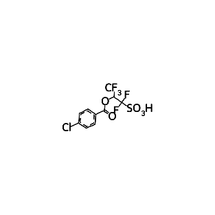 O=C(OC(C(F)(F)F)C(F)(F)S(=O)(=O)O)c1ccc(Cl)cc1